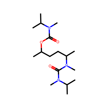 CC(CCC(C)N(C)C(=O)N(C)C(C)C)OC(=O)N(C)C(C)C